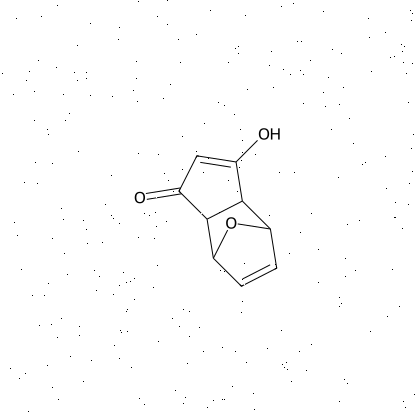 O=C1C=C(O)C2C3C=CC(O3)C12